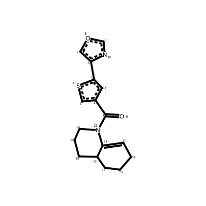 O=C(c1csc(-c2cocn2)c1)N1CCCC2CCCC=C21